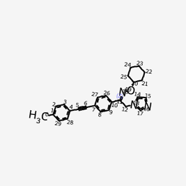 Cc1ccc(C#Cc2ccc(/C(Cn3ccnc3)=N/OC3CCCCC3)cc2)cc1